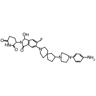 Nc1ccc(N2CCN(C3CCC4(CCN(c5cc6c(cc5F)C(O)N(C5CCC(=O)NC5=O)C6=O)CC4)C3)CC2)cc1